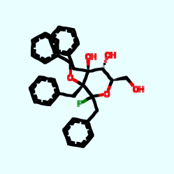 OC[C@H]1OC(F)(Cc2ccccc2)[C@](Cc2ccccc2)(OCc2ccccc2)[C@](O)(Cc2ccccc2)[C@@H]1O